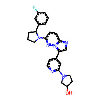 OC1CCN(c2cc(-c3cnc4ccc(N5CCCC5c5cccc(F)c5)nn34)ccn2)C1